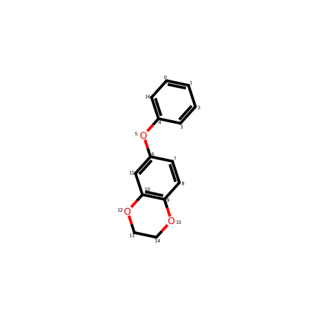 [c]1cccc(Oc2ccc3c(c2)OCCO3)c1